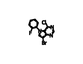 Fc1ccccc1-n1cc(Br)c2ncnc(Cl)c21